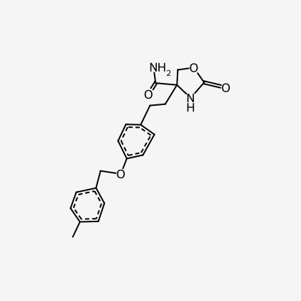 Cc1ccc(COc2ccc(CCC3(C(N)=O)COC(=O)N3)cc2)cc1